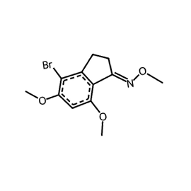 CON=C1CCc2c(Br)c(OC)cc(OC)c21